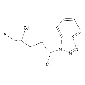 CCC(CCC(O)CF)n1nnc2ccccc21